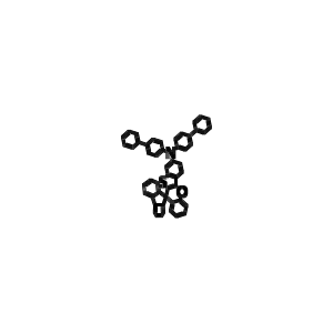 c1ccc(-c2ccc(N(c3ccc(-c4ccccc4)cc3)c3ccc4c5c(sc4c3)C3(c4ccccc4O5)c4ccccc4-c4ccccc43)cc2)cc1